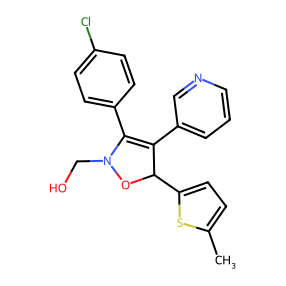 Cc1ccc(C2ON(CO)C(c3ccc(Cl)cc3)=C2c2cccnc2)s1